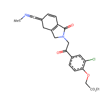 CCOC(=O)COc1ccc(C(=O)CN2CC3=C(C=CC(=C=NSC)C3)C2=O)cc1Cl